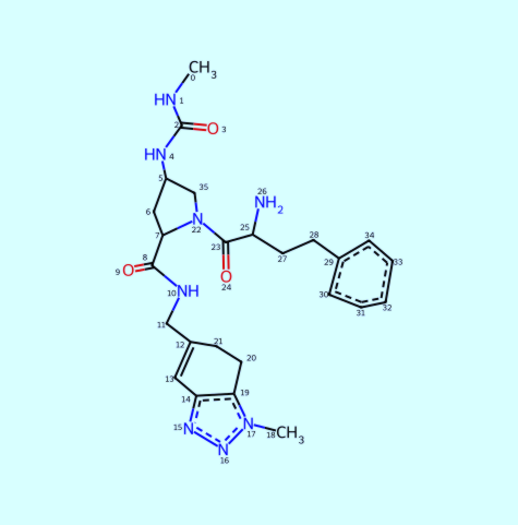 CNC(=O)NC1CC(C(=O)NCC2=Cc3nnn(C)c3CC2)N(C(=O)C(N)CCc2ccccc2)C1